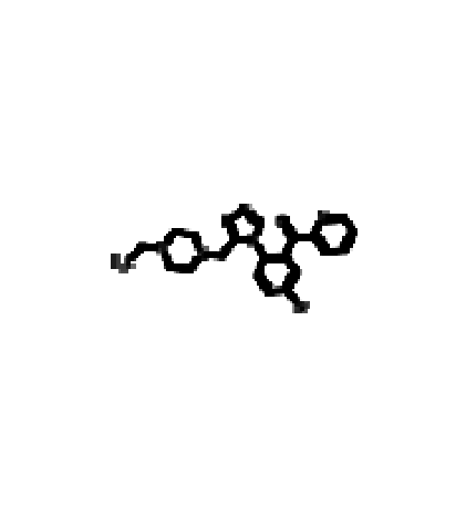 CCN1CCN(Cc2nncn2-c2ccc(Br)cc2C(=O)c2ccccn2)CC1